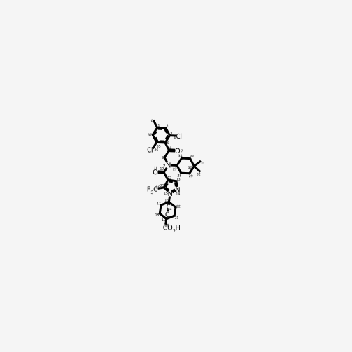 Cc1cc(Cl)c(C(=O)CN(C(=O)c2cnn(C34CCC(C(=O)O)(CC3)CC4)c2C(F)(F)F)C2CCC(C)(C)CC2)c(Cl)c1